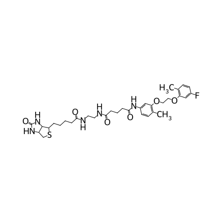 Cc1ccc(F)cc1OCCOc1cc(NC(=O)CCCC(=O)NCCNC(=O)CCCCC2SCC3NC(=O)NC32)ccc1C